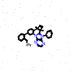 CC(C)Cc1ccccc1-c1ccc2c(c1)N1c3nccnc3N(c3ccccc3)C1C1(C)C=CC21C